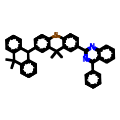 CC1(C)c2cc(-c3nc(-c4ccccc4)c4ccccc4n3)ccc2Sc2ccc(C3c4ccccc4C(C)(C)c4ccccc43)cc21